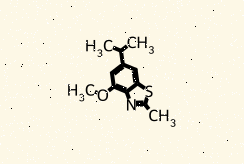 COc1cc(C(C)C)cc2sc(C)nc12